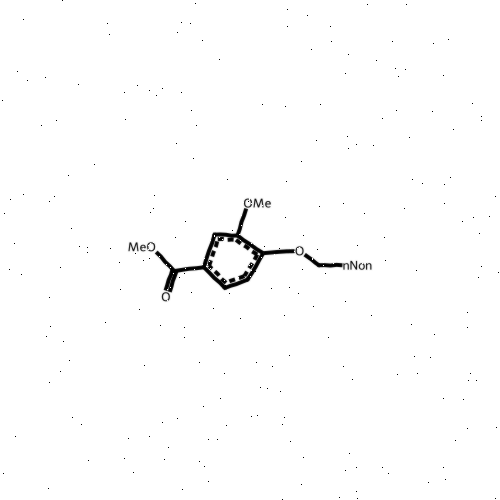 CCCCCCCCCCOc1ccc(C(=O)OC)cc1OC